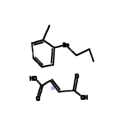 CC[CH2][Sn][c]1ccccc1C.O=C(O)/C=C/C(=O)O